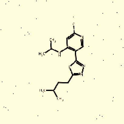 CC(C)CCc1nnc(-c2cnc(Cl)cc2NC(C)C)s1